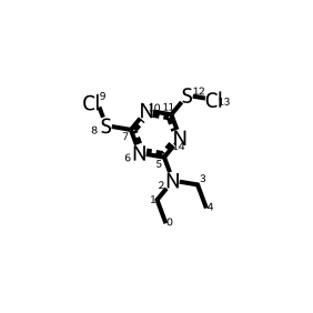 CCN(CC)c1nc(SCl)nc(SCl)n1